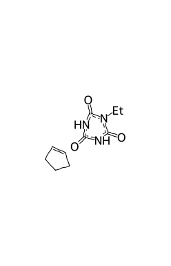 C1=CCCC1.CCn1c(=O)[nH]c(=O)[nH]c1=O